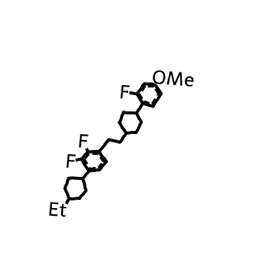 CCC1CCC(c2ccc(CCC3CCC(c4ccc(OC)cc4F)CC3)c(F)c2F)CC1